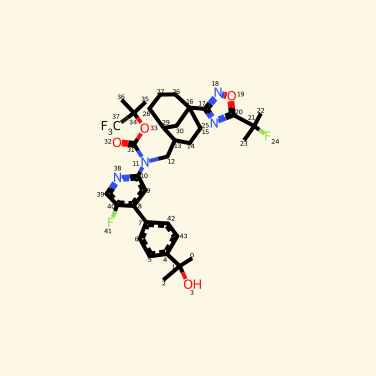 CC(C)(O)c1ccc(-c2cc(N(CC3CCC4(c5noc(C(C)(C)F)n5)CCCC3C4)C(=O)OC(C)(C)C(F)(F)F)ncc2F)cc1